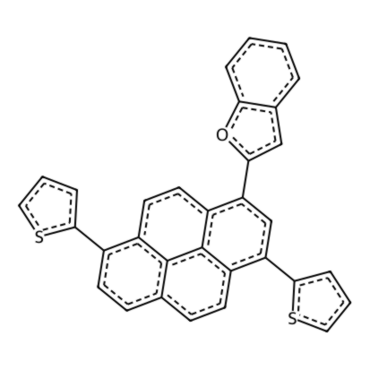 c1csc(-c2ccc3ccc4c(-c5cccs5)cc(-c5cc6ccccc6o5)c5ccc2c3c54)c1